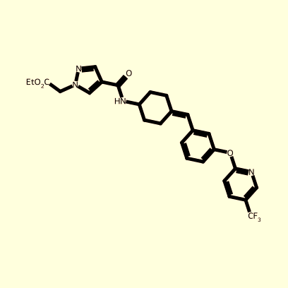 CCOC(=O)Cn1cc(C(=O)NC2CCC(=Cc3cccc(Oc4ccc(C(F)(F)F)cn4)c3)CC2)cn1